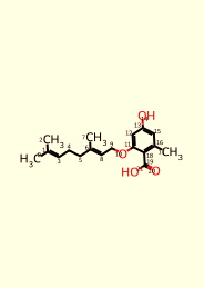 CC(C)=CCC/C(C)=C/COc1cc(O)cc(C)c1C(=O)O